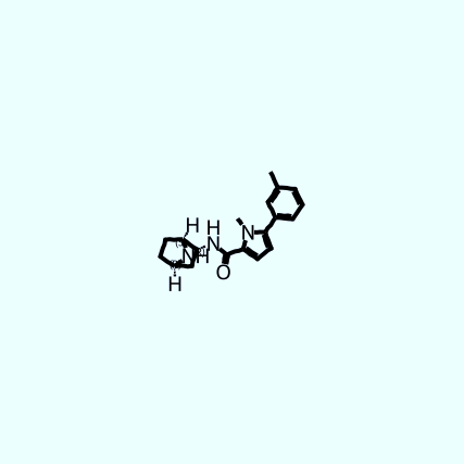 Cc1cccc(-c2ccc(C(=O)N[C@@H]3C[C@H]4CC[C@@H]3N4)n2C)c1